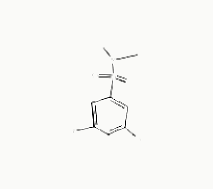 CN(C)S(=O)(=O)c1cc(Br)cc(Br)c1